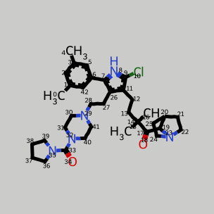 Cc1cc(C)cc(-c2[nH]c(Cl)c(CCC(C)(C)C(=O)C3C4CCN3CC4)c2CCN2CCN(C(=O)N3CCCC3)CC2)c1